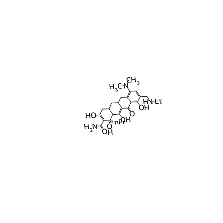 CCC[C@]1(O)C(C(N)=O)=C(O)CC2CC3Cc4c(N(C)C)cc(CNCC)c(O)c4C(=O)C3=C(O)C21